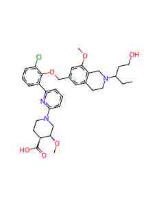 CCC(CCO)N1CCc2cc(COc3c(Cl)cccc3-c3cccc(N4CC[C@H](C(=O)O)[C@H](OC)C4)n3)cc(OC)c2C1